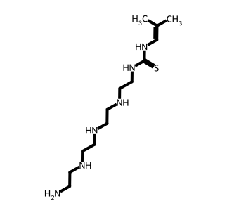 CC(C)=CNC(=S)NCCNCCNCCNCCN